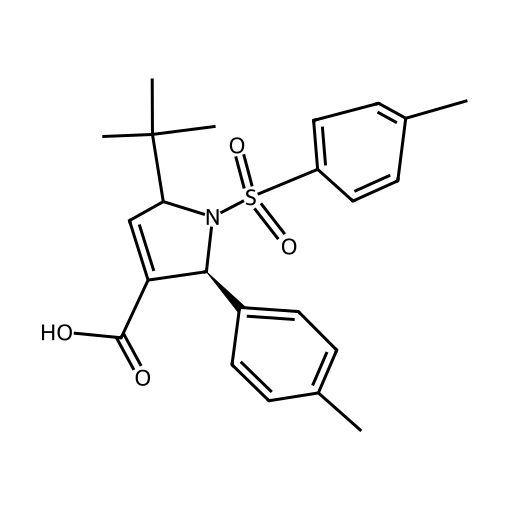 Cc1ccc([C@H]2C(C(=O)O)=CC(C(C)(C)C)N2S(=O)(=O)c2ccc(C)cc2)cc1